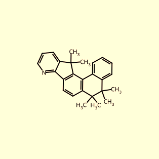 CC1(C)c2cccnc2-c2ccc3c(c21)-c1ccccc1C(C)(C)C3(C)C